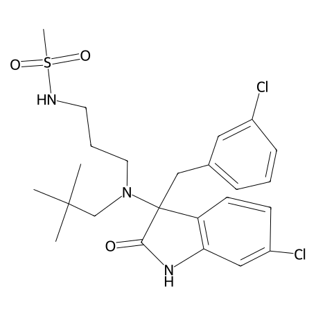 CC(C)(C)CN(CCCNS(C)(=O)=O)C1(Cc2cccc(Cl)c2)C(=O)Nc2cc(Cl)ccc21